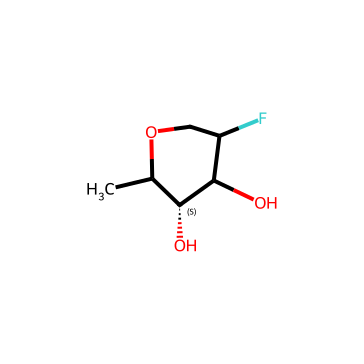 CC1OCC(F)C(O)[C@@H]1O